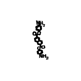 Nc1ccc(OC(=O)c2ccc3cc(C(=O)Oc4ccc(N)cc4)ccc3c2)cc1